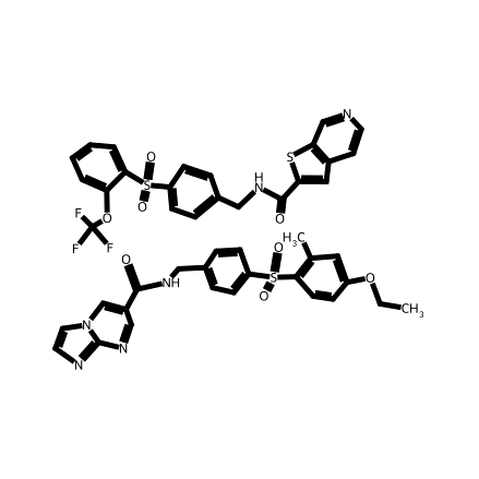 CCOc1ccc(S(=O)(=O)c2ccc(CNC(=O)c3cnc4nccn4c3)cc2)c(C)c1.O=C(NCc1ccc(S(=O)(=O)c2ccccc2OC(F)(F)F)cc1)c1cc2ccncc2s1